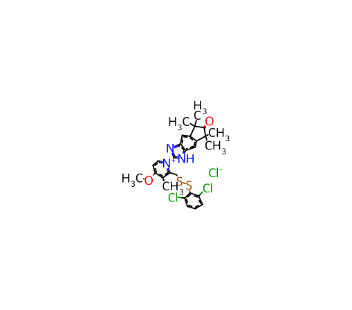 COc1cc[n+](-c2nc3cc4c(cc3[nH]2)C(C)(C)C(=O)C4(C)C)c(CSSc2c(Cl)cccc2Cl)c1C.[Cl-]